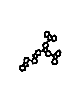 c1ccc2c(c1)sc1c(-c3cccc4c3oc3ccc(-n5c6ccc(-n7c8ccccc8c8ccccc87)cc6c6cc(-n7c8ccccc8c8ccccc87)ccc65)cc34)cccc12